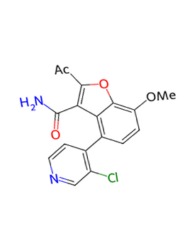 COc1ccc(-c2ccncc2Cl)c2c(C(N)=O)c(C(C)=O)oc12